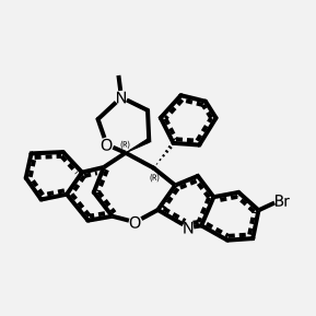 CN1CC[C@]2(OC1)c1cc(cc3ccccc13)Oc1nc3ccc(Br)cc3cc1[C@H]2c1ccccc1